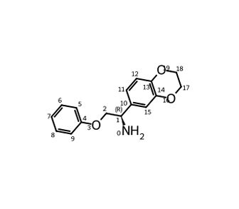 N[C@@H](COc1ccccc1)c1ccc2c(c1)OCCO2